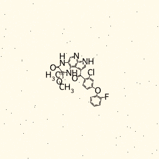 COC[C@]1(C)Nc2c(cnc3[nH]cc(C(=O)c4ccc(Oc5ccccc5F)cc4Cl)c23)NC1=O